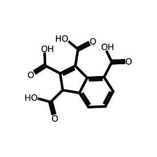 O=C(O)C1=C(C(=O)O)C(C(=O)O)c2cccc(C(=O)O)c21